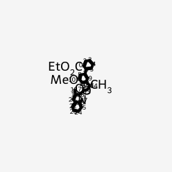 CCOC(=O)c1ccccc1-c1cc(OC)cc(C(C)OC2OCc3cc4ccccc4nc32)c1